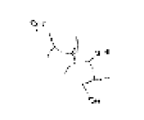 C=C(C(C)CCO)C(C)C(O)C(C)CO